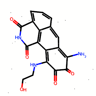 NC1=c2cc3cccc4c3c(c2=C(NCCO)C(=O)C1=O)C(=O)NC4=O